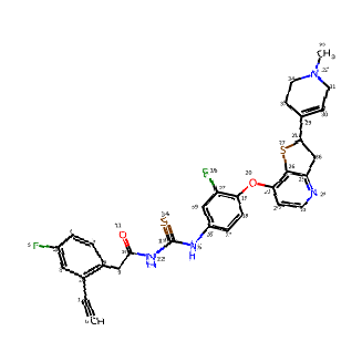 C#Cc1cc(F)ccc1CC(=O)NC(=S)Nc1ccc(Oc2ccnc3c2SC(C2=CCN(C)CC2)C3)c(F)c1